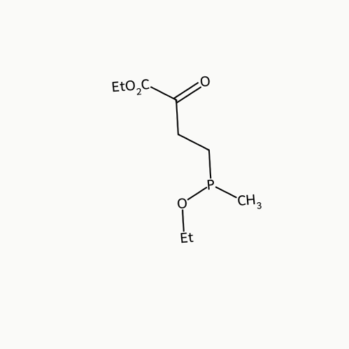 CCOC(=O)C(=O)CCP(C)OCC